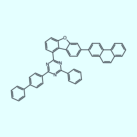 c1ccc(-c2ccc(-c3nc(-c4ccccc4)nc(-c4cccc5oc6cc(-c7ccc8c(ccc9ccccc98)c7)ccc6c45)n3)cc2)cc1